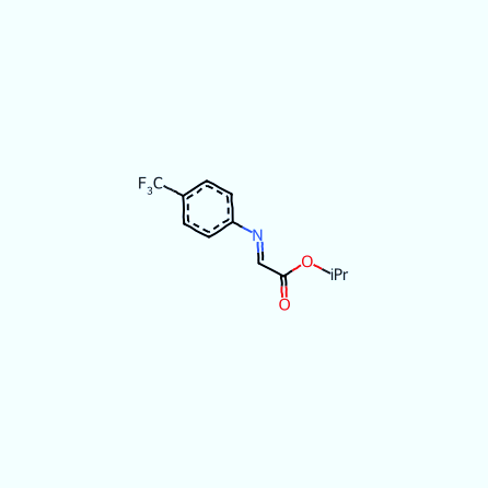 CC(C)OC(=O)C=Nc1ccc(C(F)(F)F)cc1